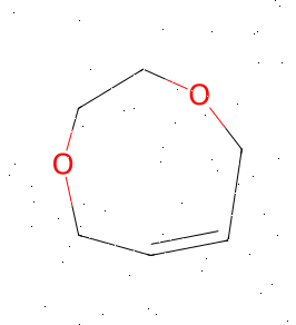 C1=C\COCCOC/1